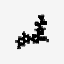 Cc1cc(-c2cnc(N)c(-n3cc(C(=O)NC4CC4)cn3)n2)cc2c1CCN(C)C2